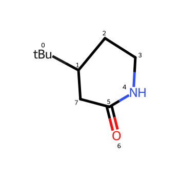 CC(C)(C)C1CCNC(=O)C1